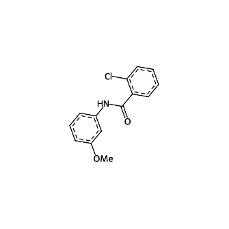 COc1cccc(NC(=O)c2ccccc2Cl)c1